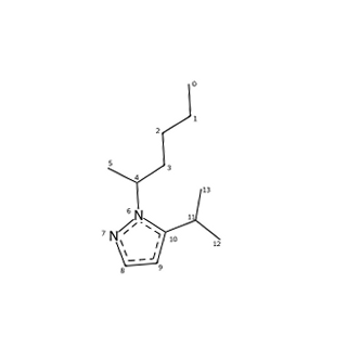 CCCCC(C)n1nccc1C(C)C